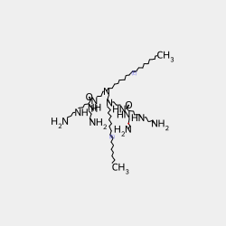 CCCCCCCC/C=C/CCCCCCCCN(CCCNC(=O)C(CCCNCCCN)NCCCN)CCN(CCCCCCCC/C=C/CCCCCCCC)CCCNC(=O)C(CCCNCCCN)NCCCN